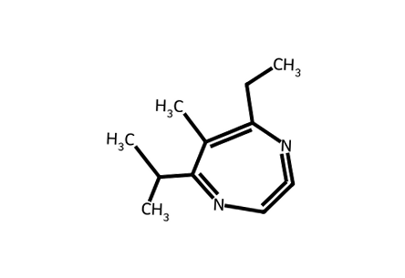 CCC1=C(C)C(C(C)C)=NC=C=N1